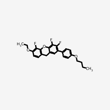 CCCCOc1ccc(-c2cc3c(c(F)c2F)Oc2c(ccc(OCC)c2F)C3)cc1